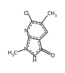 Cc1cc2c(=O)[nH]n(C)c2nc1Cl